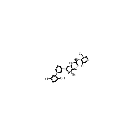 CCn1nc(-c2cccc(-c3cc(Cl)ccc3O)c2)cc(NC(=O)Nc2c(Cl)cncc2Cl)c1=O